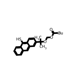 CCC(C)C(=O)OCOC(C)(C)c1ccc2c(S)c3ccccc3cc2c1